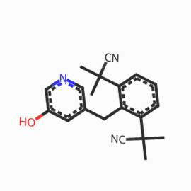 CC(C)(C#N)c1cccc(C(C)(C)C#N)c1Cc1cncc(O)c1